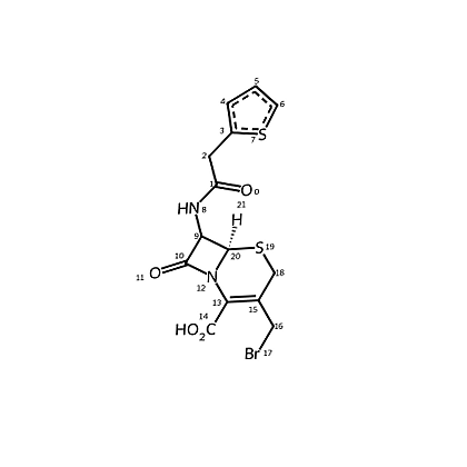 O=C(Cc1cccs1)NC1C(=O)N2C(C(=O)O)=C(CBr)CS[C@H]12